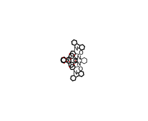 O=C1c2c(-n3c4ccccc4c4ccccc43)ccc(-n3c4ccccc4c4ccccc43)c2C(=O)N1C1CCCCC1N1C(=O)c2c(-n3c4ccccc4c4ccccc43)ccc(-n3c4ccccc4c4ccccc43)c2C1=O